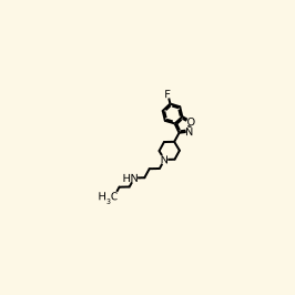 CCCNCCCN1CCC(c2noc3cc(F)ccc23)CC1